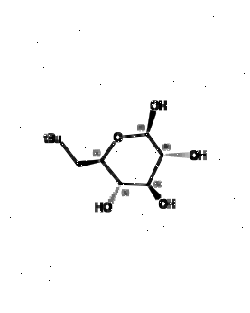 CC(C)(C)C[C@H]1O[C@@H](O)[C@H](O)[C@@H](O)[C@@H]1O